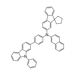 c1ccc(-n2c3ccccc3c3ccc(-c4ccc(N(c5ccc6c(c5)C5(CCCC5)c5ccccc5-6)c5ccc6ccccc6c5)cc4)cc32)cc1